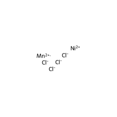 [Cl-].[Cl-].[Cl-].[Cl-].[Mn+2].[Ni+2]